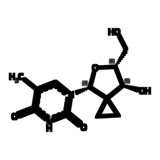 Cc1cn([C@@H]2O[C@H](CO)[C@@H](O)C23CC3)c(=O)[nH]c1=O